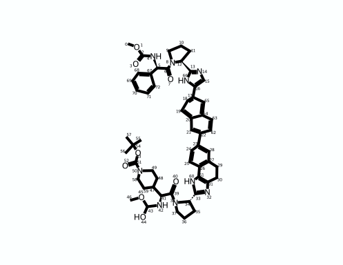 COC(=O)N[C@@H](C(=O)N1CCC[C@H]1c1ncc(-c2ccc3cc(-c4ccc5c(c4)CCc4nc([C@@H]6CCCN6C(=O)[C@@H](NC(O)OC)C6CCN(C(=O)OC(C)(C)C)CC6)[nH]c4-5)ccc3c2)[nH]1)c1ccccc1